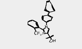 CCc1ccc(-c2ccc(-n3cc(C(C)(C)O)nc3-c3ccccc3C(F)(F)F)cc2)cc1